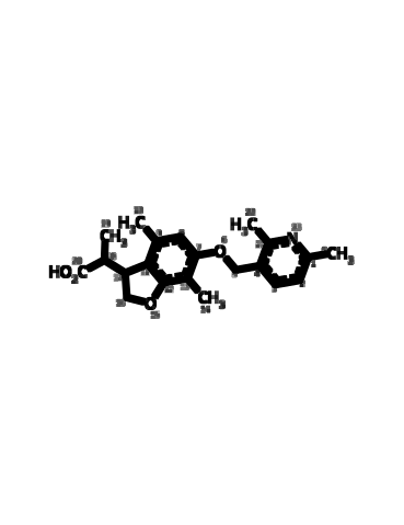 Cc1ccc(COc2cc(C)c3c(c2C)OCC3C(C)C(=O)O)c(C)n1